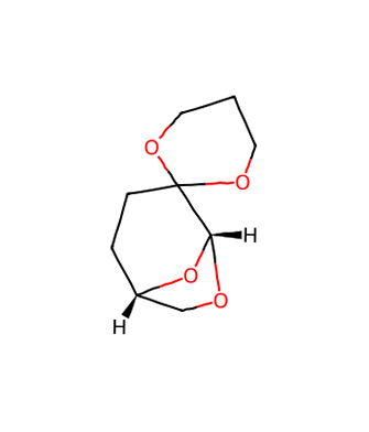 C1COC2(CC[C@H]3CO[C@@H]2O3)OC1